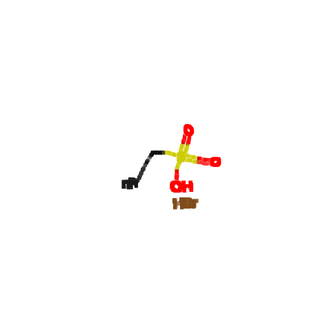 Br.CCCCS(=O)(=O)O